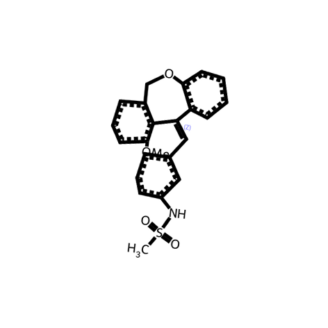 COc1cccc2c1/C(=C\c1cccc(NS(C)(=O)=O)c1)c1ccccc1OC2